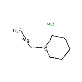 Cl.[CH3][Mg][CH2][SiH]1CCCCC1